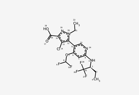 CC[C@H](Nc1cc(OC(F)F)c(-c2c(Cl)c(C(=O)O)nn2CC)cn1)C(F)(F)F